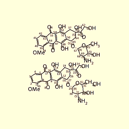 COc1cccc2c1C(=O)c1c(O)c3c(c(O)c1C2=O)C[C@@](O)(C(=O)CO)C[C@@H]3O[C@H]1C[C@H](N)[C@H](O)[C@H](C)O1.COc1cccc2c1C(=O)c1c(O)c3c(c(O)c1C2=O)C[C@@](O)(C(=O)CO)C[C@@H]3O[C@H]1C[C@H](N)[C@H](O)[C@H](C)O1.Cl